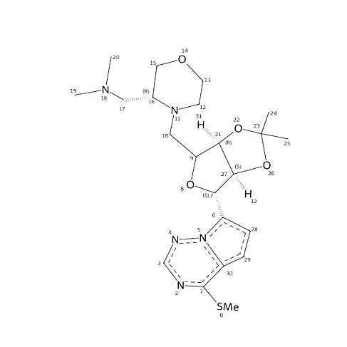 CSc1ncnn2c([C@@H]3OC(CN4CCOC[C@H]4CN(C)C)[C@H]4OC(C)(C)O[C@H]43)ccc12